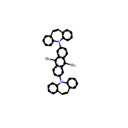 CC(C)(C)c1c2ccc(N3c4ccccc4C=Cc4ccccc43)cc2c(C(C)(C)C)c2ccc(N3c4ccccc4C=Cc4ccccc43)cc12